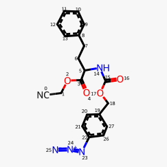 N#CCOC(=O)C(CCc1ccccc1)NC(=O)OCc1ccc(N=[N+]=[N-])cc1